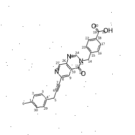 Cc1ccc(CC#Cc2cc3c(=O)n(Cc4ccc(C(=O)O)cc4)cnc3cn2)cc1